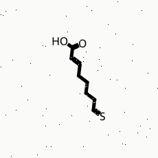 O=C(O)C=CCCCCC=S